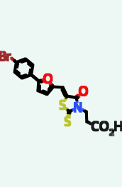 O=C(O)CCN1C(=O)C(=Cc2ccc(-c3ccc(Br)cc3)o2)SC1=S